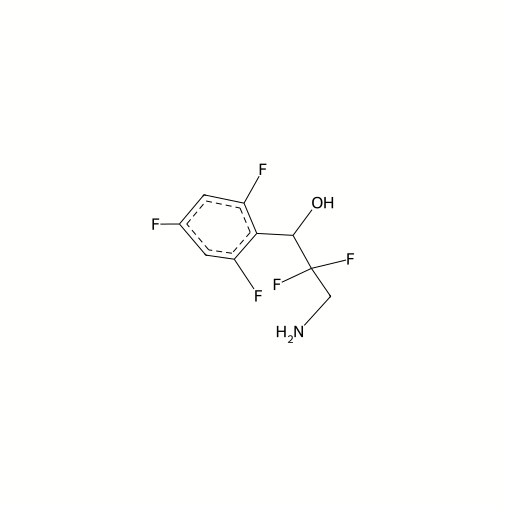 NCC(F)(F)C(O)c1c(F)cc(F)cc1F